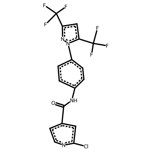 O=C(Nc1ccc(-n2nc(C(F)(F)F)cc2C(F)(F)F)cc1)c1ccnc(Cl)c1